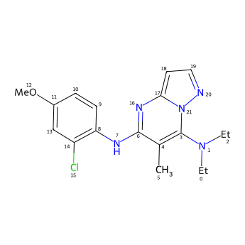 CCN(CC)c1c(C)c(Nc2ccc(OC)cc2Cl)nc2ccnn12